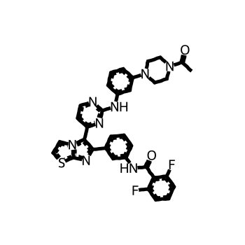 CC(=O)N1CCN(c2cccc(Nc3nccc(-c4c(-c5cccc(NC(=O)c6c(F)cccc6F)c5)nc5sccn45)n3)c2)CC1